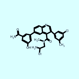 CCC(N)CN(C)C(=O)c1c(-c2cc(C)cc(Cl)c2)cnc2ccc(-c3cc(O)cc(C(N)=O)c3)cc12